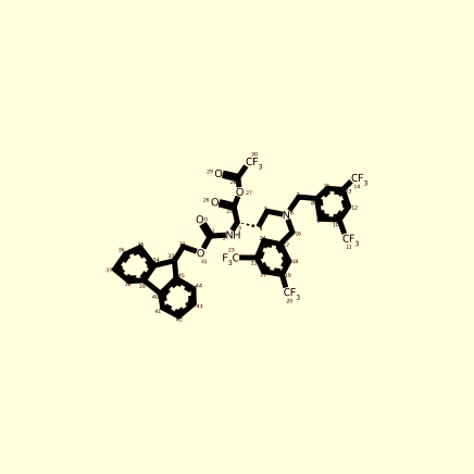 O=C(N[C@@H](CCN(Cc1cc(C(F)(F)F)cc(C(F)(F)F)c1)Cc1cc(C(F)(F)F)cc(C(F)(F)F)c1)C(=O)OC(=O)C(F)(F)F)OCC1c2ccccc2-c2ccccc21